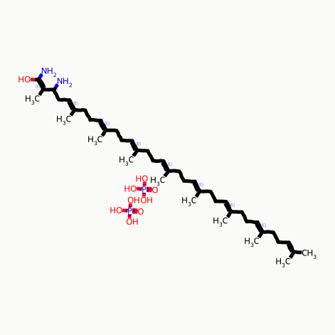 CC(C)=CCC/C(C)=C/CC/C(C)=C/CC/C(C)=C/CC/C(C)=C/CC/C(C)=C/CC/C(C)=C/CC/C(C)=C/CC(N)/C(C)=C(\N)O.O=P(O)(O)O.O=P(O)(O)O